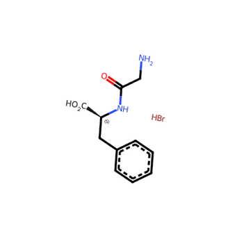 Br.NCC(=O)N[C@@H](Cc1ccccc1)C(=O)O